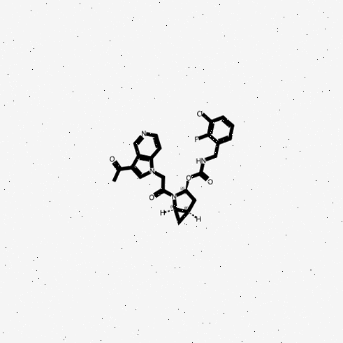 CC(=O)c1cn(CC(=O)N2[C@@H](OC(=O)NCc3cccc(Cl)c3F)C[C@H]3C[C@H]32)c2ccncc12